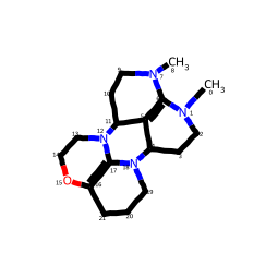 CN1CCC2C3=C1N(C)CCC3N1CCOC3=C1N2CCC3